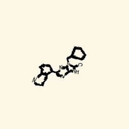 O=c1[nH]c2ncc(-c3cccc4ncccc34)nc2n1CC1CCCC1